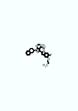 C=CCOc1cc2cc(-c3nn(C4CCc5ccccc5C4)c4ncnc(N)c34)[nH]c2cc1F